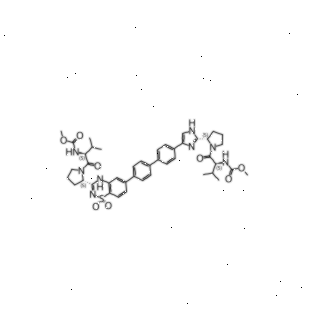 COC(=O)N[C@H](C(=O)N1CCC[C@H]1C1=NS(=O)(=O)c2ccc(-c3ccc(-c4ccc(-c5c[nH]c([C@@H]6CCCN6C(=O)[C@@H](NC(=O)OC)C(C)C)n5)cc4)cc3)cc2N1)C(C)C